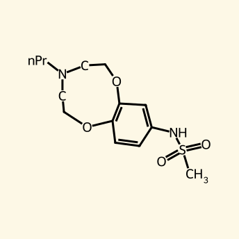 CCCN1CCOc2ccc(NS(C)(=O)=O)cc2OCC1